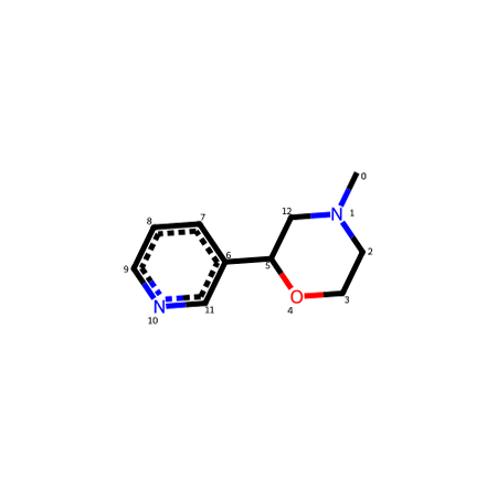 CN1CCOC(c2cccnc2)C1